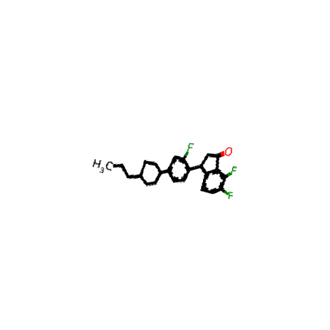 CCCC1CCC(c2ccc(C3CC(=O)c4c3ccc(F)c4F)c(F)c2)CC1